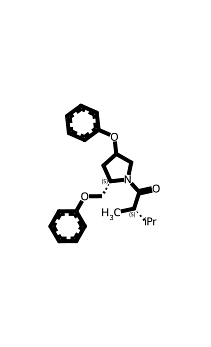 CC(C)[C@H](C)C(=O)N1CC(Oc2ccccc2)C[C@H]1COc1ccccc1